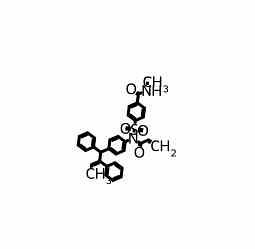 C=CC(=O)N(c1ccc(C(C(=CC)c2ccccc2)c2ccccc2)cc1)S(=O)(=O)c1ccc(C(=O)NC)cc1